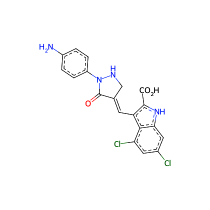 Nc1ccc(N2NCC(=Cc3c(C(=O)O)[nH]c4cc(Cl)cc(Cl)c34)C2=O)cc1